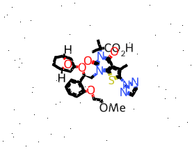 COCCOc1ccccc1[C@H](Cn1c(=O)n(C(C)(C)C(=O)O)c(=O)c2c(C)c(-n3nccn3)sc21)OC1C[C@H]2CC[C@@H](C1)O2